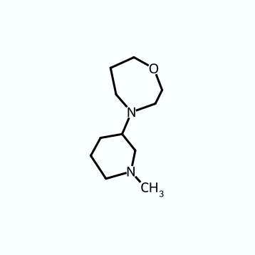 CN1CCCC(N2CCCOCC2)C1